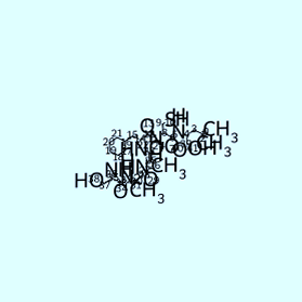 CC(C)C[C@H](NC(=O)[C@H](CS)NC(=O)[C@H](CC1CCCCC1)NC(=O)[C@H](C)NC(=O)[C@H](C)NC(=O)[C@@H](N)CO)C(=O)O